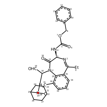 CCC1=N[C@H](NC(=O)OCc2ccccc2)C(=O)N(C(C=O)N2CC3CCC(CC3)C2)c2c(C)cccc21